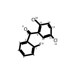 O=C(c1ccccc1F)c1cc(Cl)ccc1Cl